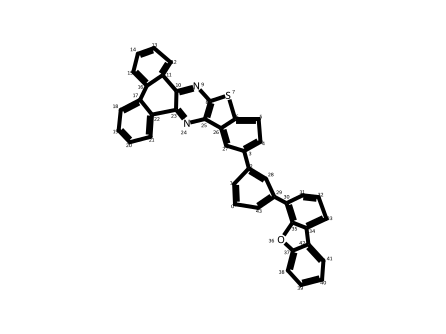 c1cc(-c2ccc3sc4nc5c6ccccc6c6ccccc6c5nc4c3c2)cc(-c2cccc3c2oc2ccccc23)c1